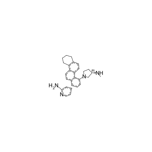 CN[C@@H]1CCN(c2cccc3ccc4c5c(ccc4c23)CCCC5)C1.Nc1ccccn1